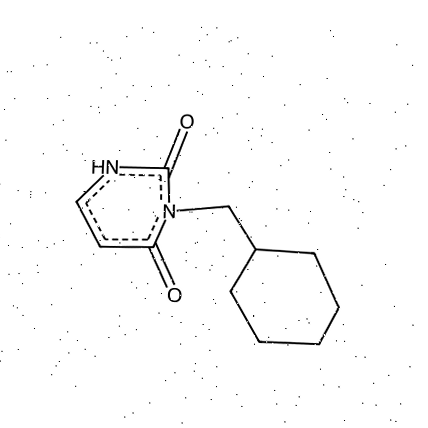 O=c1cc[nH]c(=O)n1CC1CCCCC1